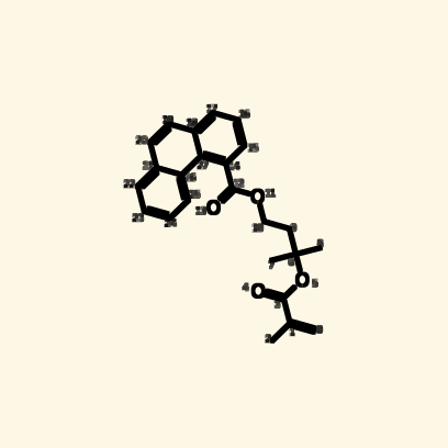 C=C(C)C(=O)OC(C)(C)CCOC(=O)c1cccc2ccc3ccccc3c12